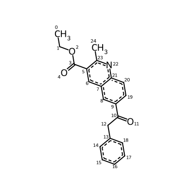 CCOC(=O)c1cc2cc(C(=O)Cc3ccccc3)ccc2nc1C